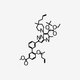 C=CCCC1(C)CCN(c2c([C@H](OC(C)(C)C)C(=O)OCC)c(C)nc3cc(-c4cccc(-c5cc(C(=O)OC)ccc5O[C@@H](C)CC=C)c4)nn23)CC1